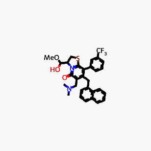 COC(O)C1CSc2c(-c3cccc(C(F)(F)F)c3)c(Cc3cccc4ccccc34)c(CN(C)C)c(=O)n21